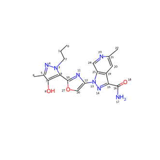 CCCn1nc(C)c(O)c1-c1nc(-n2nc(C(N)=O)c3cc(C)ncc32)co1